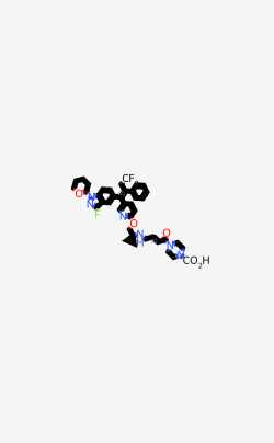 O=C(O)N1CCN(C(=O)/C=C/CNC2(COc3ccc(/C(=C(/CC(F)(F)F)c4ccccc4)c4ccc5c(c4)c(F)nn5C4CCCCO4)cn3)CC2)CC1